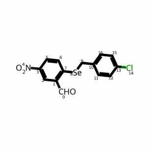 O=Cc1cc([N+](=O)[O-])ccc1[Se]Cc1ccc(Cl)cc1